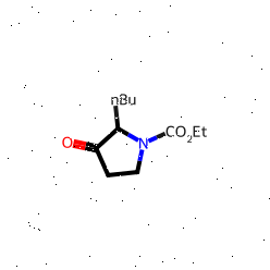 CCCCC1C(=O)CCN1C(=O)OCC